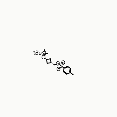 Cc1ccc(S(=O)(=O)OC[C@H]2C[C@H](O[Si](C)(C)C(C)(C)C)C2)cc1